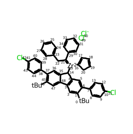 CC(C)(C)c1cc2c(cc1-c1ccc(Cl)cc1)[CH](/[Zr+2]([C]1=CC=CC1)=[C](\Cc1ccccc1)c1ccccc1)c1cc(-c3ccc(Cl)cc3)c(C(C)(C)C)cc1-2.[Cl-].[Cl-]